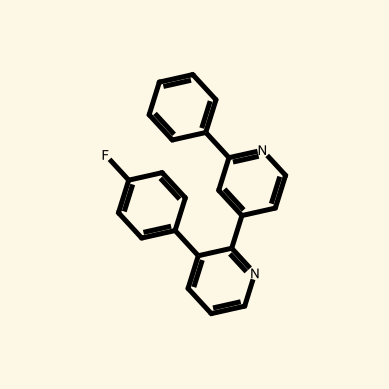 Fc1ccc(-c2cccnc2-c2ccnc(-c3ccccc3)c2)cc1